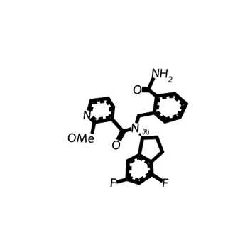 COc1ncccc1C(=O)N(Cc1ccccc1C(N)=O)[C@@H]1CCc2c(F)cc(F)cc21